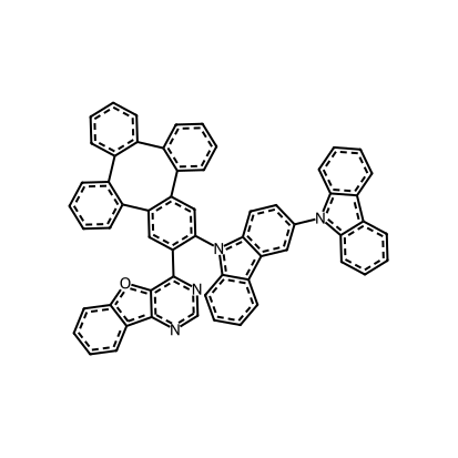 c1ccc2c(c1)-c1ccccc1-c1cc(-c3ncnc4c3oc3ccccc34)c(-n3c4ccccc4c4cc(-n5c6ccccc6c6ccccc65)ccc43)cc1-c1ccccc1-2